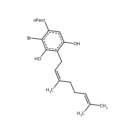 CCCCCc1cc(O)c(CC=C(C)CCC=C(C)C)c(O)c1Br